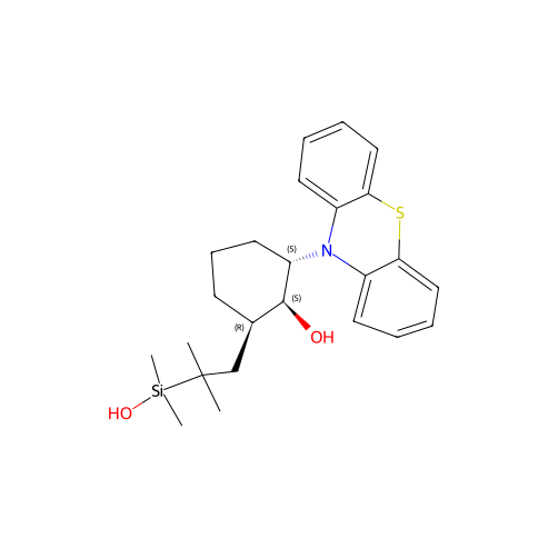 CC(C)(C[C@H]1CCC[C@H](N2c3ccccc3Sc3ccccc32)[C@H]1O)[Si](C)(C)O